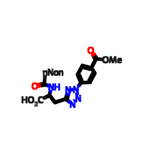 CCCCCCCCCC(=O)NC(Cc1nnn(-c2ccc(C(=O)OC)cc2)n1)C(=O)O